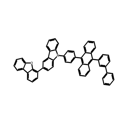 c1ccc(-c2cccc(-c3c4ccccc4c(-c4ccc(-n5c6ccccc6c6cc(-c7cccc8c7oc7ccccc78)ccc65)cc4)c4ccccc34)c2)cc1